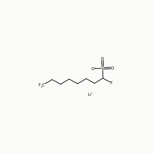 O=S(=O)([O-])C(F)CCCCCCC(F)(F)F.[Li+]